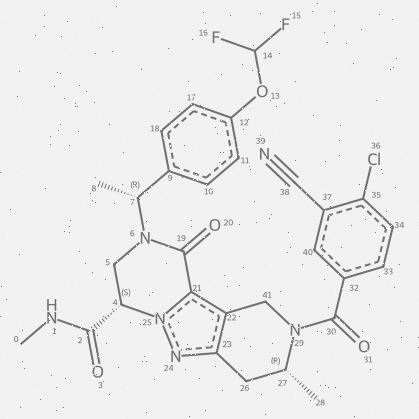 CNC(=O)[C@@H]1CN([C@H](C)c2ccc(OC(F)F)cc2)C(=O)c2c3c(nn21)C[C@@H](C)N(C(=O)c1ccc(Cl)c(C#N)c1)C3